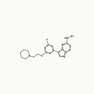 CCNc1ccn2ncc(-c3cc(F)cc(OCCN4CCCCC4)c3)c2n1